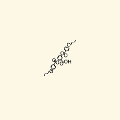 CCCCOc1ccc(C(=O)Oc2ccc(OC(=O)c3ccc(OCCCC)cc3)c(C(=O)O)c2)cc1